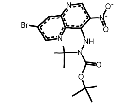 CC(C)(C)OC(=O)N(Nc1c([N+](=O)[O-])cnc2cc(Br)cnc12)C(C)(C)C